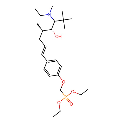 CCOP(=O)(COc1ccc(/C=C/C[C@@H](C)[C@@H](O)C(N(C)CC)C(C)(C)C)cc1)OCC